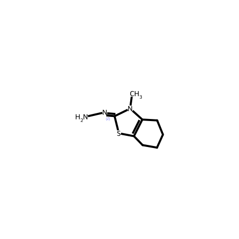 Cn1c2c(s/c1=N\N)CCCC2